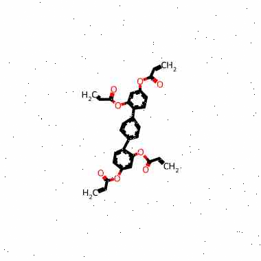 C=CC(=O)Oc1ccc(-c2ccc(-c3ccc(OC(=O)C=C)cc3OC(=O)C=C)cc2)c(OC(=O)C=C)c1